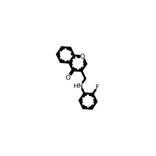 O=c1c(CNc2ccccc2F)coc2ccccc12